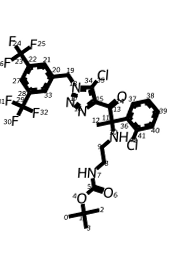 CC(C)(C)OC(=O)NCCNC(C)(C(=O)c1nnn(Cc2cc(C(F)(F)F)cc(C(F)(F)F)c2)c1Cl)c1ccccc1Cl